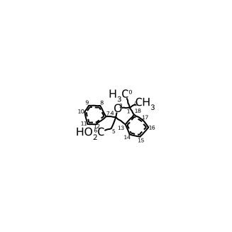 CC1(C)OC(CC(=O)O)(c2ccccc2)c2ccccc21